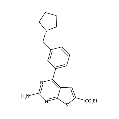 CCOC(=O)c1cc2c(-c3cccc(CN4CCCC4)c3)nc(N)nc2s1